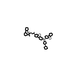 C=c1/c(=C\C=C(/C)c2ccc3c(c2)oc2cc(N(c4ccc(-c5ccccc5)cc4)c4ccc5c(c4)oc4ccccc45)ccc23)n2c3ccccc3c3cccc1c32